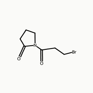 O=C(CCBr)N1CCCC1=O